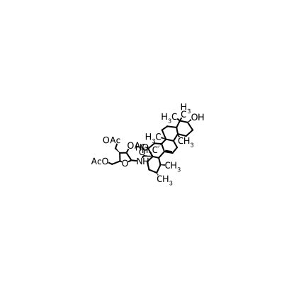 CC(=O)OCC1OC(NC(=O)[C@]23CC[C@@H](C)[C@H](C)C2C2=CCC4[C@@]5(C)CC[C@H](O)C(C)(C)C5CC[C@@]4(C)[C@]2(C)C[C@H]3O)C(OC(C)=O)[C@@H]1COC(C)=O